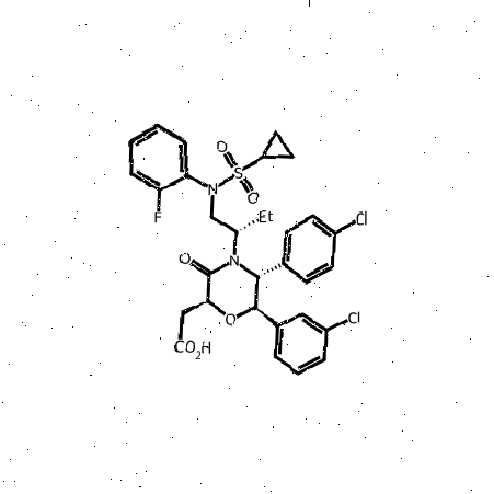 CC[C@@H](CN(c1ccccc1F)S(=O)(=O)C1CC1)N1C(=O)[C@H](CC(=O)O)O[C@H](c2cccc(Cl)c2)[C@H]1c1ccc(Cl)cc1